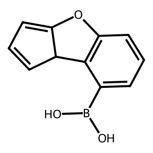 OB(O)c1cccc2c1C1C=CC=C1O2